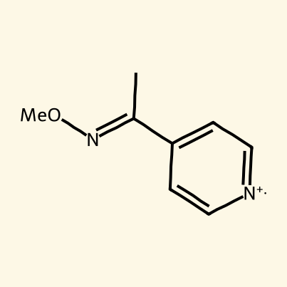 CON=C(C)C1=CC=[N+]C=C1